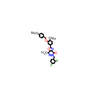 COc1ccc(COc2cc(-c3nc(C(=O)NCc4ccc(F)cc4F)c([C@H](C)N)o3)ccc2OC)cc1